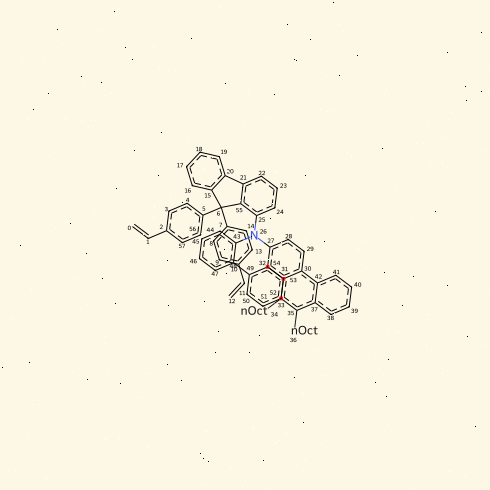 C=Cc1ccc(C2(c3ccc(C=C)cc3)c3ccccc3-c3cccc(N(c4ccc5c(c4)c(CCCCCCCC)c(CCCCCCCC)c4ccccc45)c4ccccc4-c4ccccc4)c32)cc1